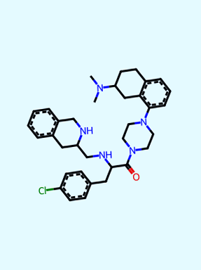 CN(C)C1CCc2cccc(N3CCN(C(=O)C(Cc4ccc(Cl)cc4)NCC4Cc5ccccc5CN4)CC3)c2C1